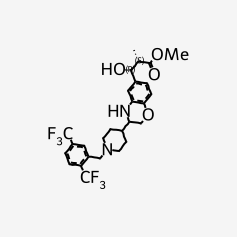 COC(=O)[C@@H](C)[C@@H](O)c1ccc2c(c1)NC(C1CCN(Cc3cc(C(F)(F)F)ccc3C(F)(F)F)CC1)CO2